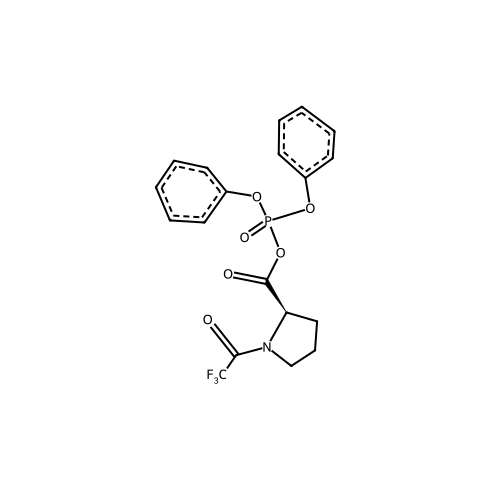 O=C(OP(=O)(Oc1ccccc1)Oc1ccccc1)[C@H]1CCCN1C(=O)C(F)(F)F